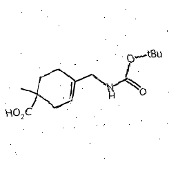 CC(C)(C)OC(=O)NCC1=CCC(C)(C(=O)O)CC1